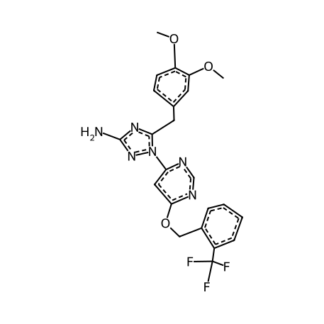 COc1ccc(Cc2nc(N)nn2-c2cc(OCc3ccccc3C(F)(F)F)ncn2)cc1OC